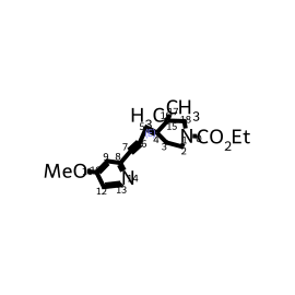 CCOC(=O)N1CC/C(=C\C#Cc2cc(OC)ccn2)C(C)(C)C1